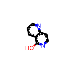 Oc1nccc2ncccc12